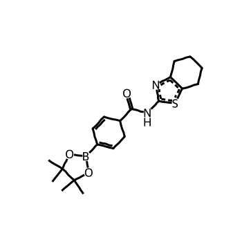 CC1(C)OB(C2=CCC(C(=O)Nc3nc4c(s3)CCCC4)C=C2)OC1(C)C